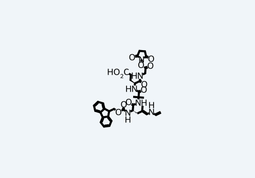 C=CN/C=C(\C)C[C@H](NC(=O)OCC1c2ccccc2-c2ccccc21)C(=O)NC(C)(C)C(=O)N[C@@H](CCC(=O)O)C(=O)NCC(=O)ON1C(=O)CCC1=O